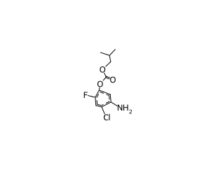 CC(C)COC(=O)Oc1cc(N)c(Cl)cc1F